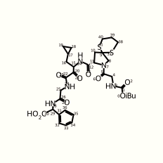 CC(C)COC(=O)NCC(=O)N1CC2(C[C@H]1C(=O)NC(CC1CC1)C(=O)C(=O)NCC(=O)NC(C(=O)O)c1ccccc1)SCCCS2